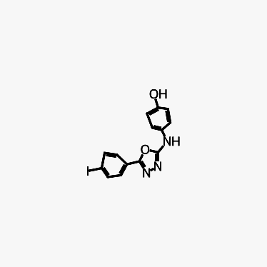 Oc1ccc(Nc2nnc(-c3ccc(I)cc3)o2)cc1